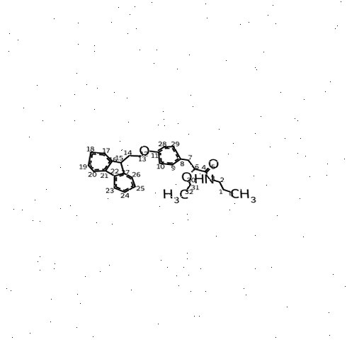 CCCNC(=O)C(Cc1ccc(OCCC2c3ccccc3-c3ccccc32)cc1)OCC